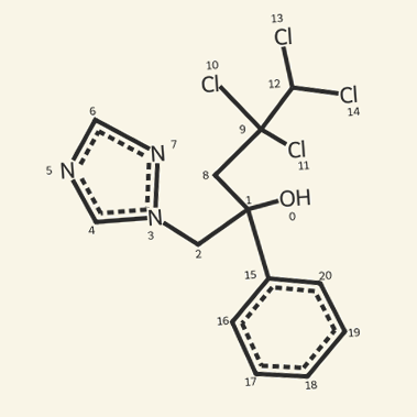 OC(Cn1cncn1)(CC(Cl)(Cl)C(Cl)Cl)c1ccccc1